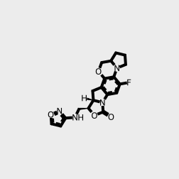 O=C1O[C@@H](CNc2ccon2)[C@@H]2Cc3c(cc(F)c4c3OCC3CCCN43)N12